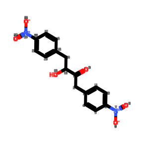 O=C(Cc1ccc([N+](=O)[O-])cc1)C(O)Cc1ccc([N+](=O)[O-])cc1